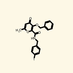 Cc1cc(=O)c(OCc2ccccc2)c(C(=O)NCc2ccc(I)cc2)o1